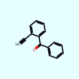 C#Cc1ccccc1C(=O)c1ccccc1